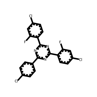 Fc1cc(Cl)ccc1-c1nc(-c2ccc(Cl)cc2)nc(-c2ccc(Cl)cc2F)n1